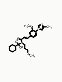 COCCCN1C(/C=C/c2ccc(-n3cnc(C)c3)c(OC)c2)=NOC1(C)C1CCCCC1